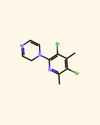 Cc1nc(N2C=CN=CC2)c(Br)c(C)c1Br